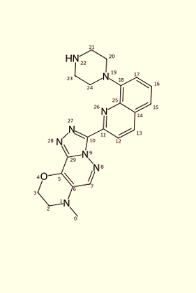 CN1CCOc2c1cnn1c(-c3ccc4cccc(N5CCNCC5)c4n3)nnc21